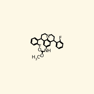 COC(=O)Nc1cc2c3c(c1)C(c1ccccc1F)CCN3CCC2c1ccccc1F